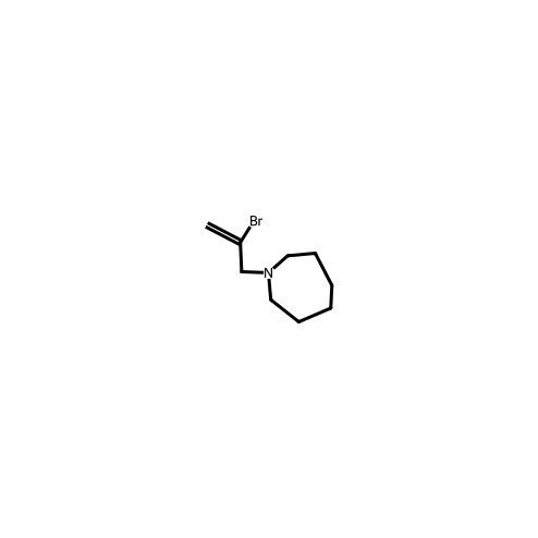 C=C(Br)CN1CCCCCC1